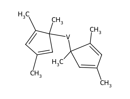 CC1=C[C](C)([V][C]2(C)C=C(C)C=C2C)C(C)=C1